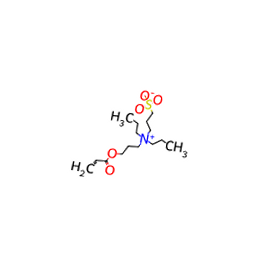 C=CC(=O)OCCC[N+](CCC)(CCC)CCCS(=O)(=O)[O-]